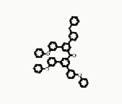 O=C(c1cc(-c2cccc(Cc3ccccc3)c2)cc(-c2cccc(Oc3ccccc3)c2)c1)c1cc(-c2cccc(Oc3ccccc3)c2)cc(-c2cccc(Oc3ccccc3)c2)c1